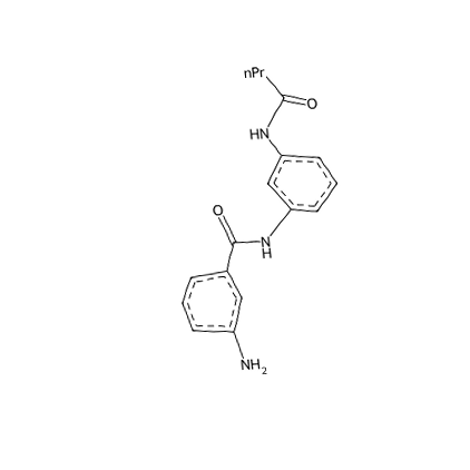 CCCC(=O)Nc1cccc(NC(=O)c2cccc(N)c2)c1